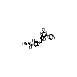 CC(C)(C)OC(=O)N1C[C@@H]2C[C@H]1CN2Cc1cc2nc(Cl)nc(N3CCOCC3)c2o1